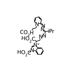 CC(C)C(N=NCC(C(=O)O)[n+]1cn(C(=O)O)c2ccccc21)=NN=c1ccccn1CCC(=O)O